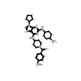 COc1ccc(C(=O)N2CCC(Nc3nc(NC4CCC(N)CC4)nc4c3ncn4C3CCCC3)CC2)cc1